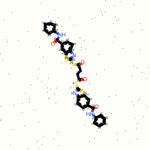 O=C(CCC(=O)Sc1nc2ccc(C(=O)Nc3ccccc3)cc2s1)Sc1nc2ccc(C(=O)Nc3ccccc3)cc2s1